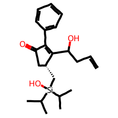 C=CCC(O)C1=C(c2ccccc2)C(=O)C[C@H]1C[Si](O)(C(C)C)C(C)C